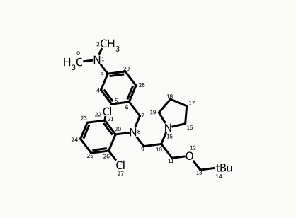 CN(C)c1ccc(CN(CC(COCC(C)(C)C)N2CCCC2)c2c(Cl)cccc2Cl)cc1